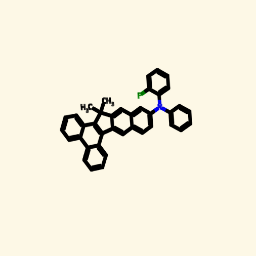 CC1(C)c2cc3cc(N(c4ccccc4)c4ccccc4F)ccc3cc2-c2c1c1ccccc1c1ccccc21